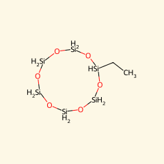 CC[SiH]1O[SiH2]O[SiH2]O[SiH2]O[SiH2]O[SiH2]O1